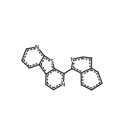 c1ccc2c(-c3nccc4c3sc3ncccc34)nccc2c1